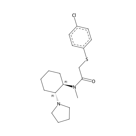 CN(C(=O)CSc1ccc(Cl)cc1)[C@@H]1CCCC[C@H]1N1CCCC1